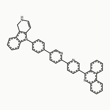 C1=Cc2c(c3ccccc3n2-c2ccc(-c3ccc(-c4ccc(-c5nc6ccccc6c6ccccc56)cn4)nc3)cc2)CN1